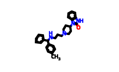 Cc1ccc(C(NCCCN2CCC(n3c(=O)[nH]c4ccccc43)CC2)c2ccccc2)cc1